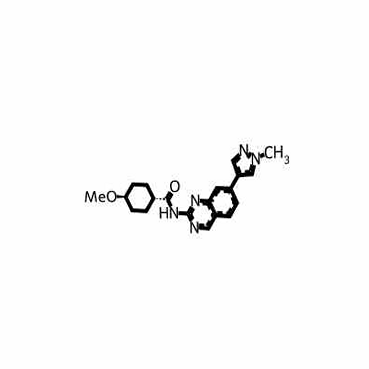 CO[C@H]1CC[C@H](C(=O)Nc2ncc3ccc(-c4cnn(C)c4)cc3n2)CC1